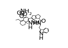 CCC1=C2C(OS(N)(=O)=O)=CC3=C(NNC4=C3CC3=C4C(C(=O)NCCc4c[nH]c5ccccc45)CC3)C2(C)CCC1